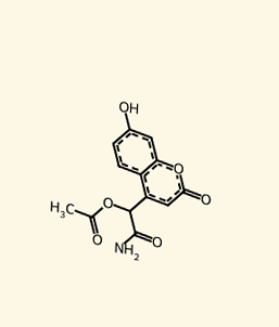 CC(=O)OC(C(N)=O)c1cc(=O)oc2cc(O)ccc12